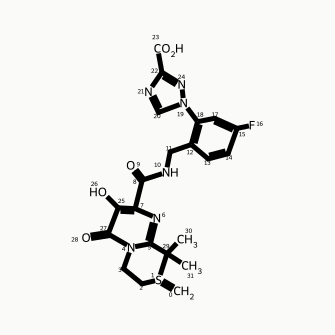 C=S1CCn2c(nc(C(=O)NCc3ccc(F)cc3-n3cnc(C(=O)O)n3)c(O)c2=O)C1(C)C